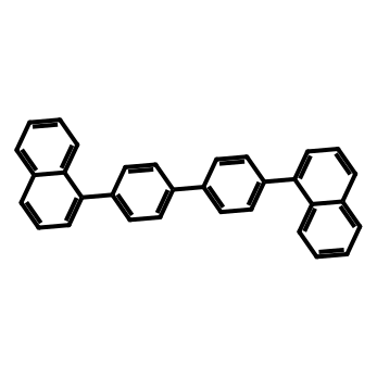 c1ccc2c(-c3ccc(-c4ccc(-c5cccc6ccccc56)cc4)cc3)cccc2c1